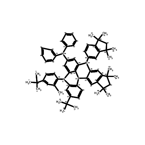 Cc1cc(C(C)(C)C)ccc1N1c2cc(C(C)(C)C)ccc2B2c3cc4c(cc3N(c3ccc5c(c3)C(C)(C)CC5(C)C)c3cc(N(c5ccccc5)c5ccccc5)cc1c32)C(C)(C)CC4(C)C